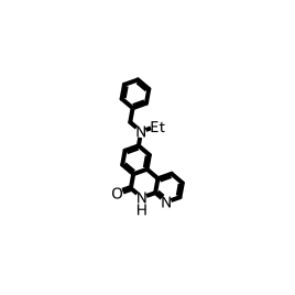 CCN(Cc1ccccc1)c1ccc2c(=O)[nH]c3ncccc3c2c1